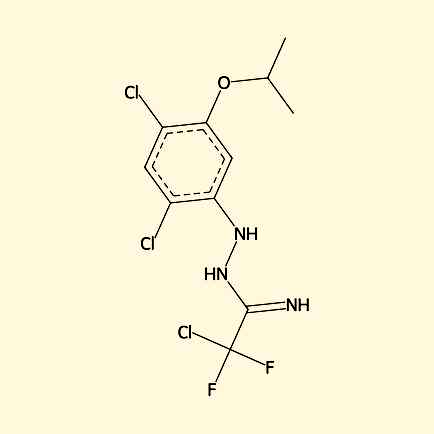 CC(C)Oc1cc(NNC(=N)C(F)(F)Cl)c(Cl)cc1Cl